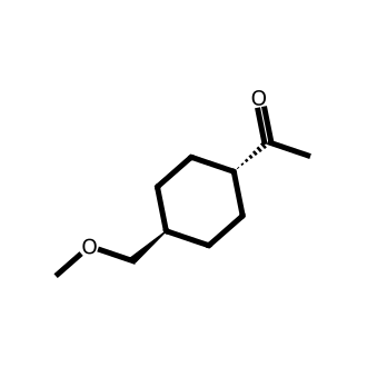 COC[C@H]1CC[C@H](C(C)=O)CC1